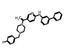 C=C(c1ccc(Nc2cccc(-c3ccccc3)c2)nc1)N1CCN(Cc2ccc(F)cc2)CC1